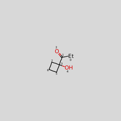 CCC(=O)C1(O)CCC1